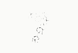 CC(=O)O[C@@H]1[C@@H](OC(C)=O)[C@@H](Oc2ccc(-c3cnn(C)c3)nc2F)SC[C@H]1OC(C)=O